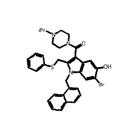 CC(C)N1CCN(C(=O)c2c(CSc3ccccc3)n(Cc3cccc4ccccc34)c3cc(Br)c(O)cc23)CC1